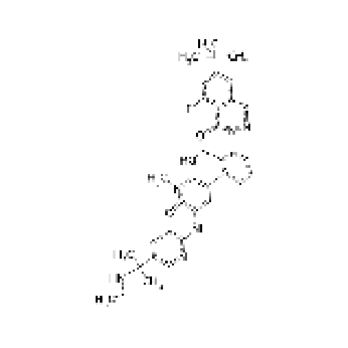 CCNC(C)(C)c1ccc(Nc2cc(-c3cccc(-n4ncc5cc(C(C)(C)C)cc(F)c5c4=O)c3CO)cn(C)c2=O)nc1